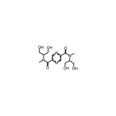 CN(C(=O)c1cnc(C(=O)N(C)C(CO)CO)cn1)C(CO)CO